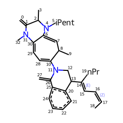 C=C1C(C)N(C(C)CCC)C2=CC(C)C(N3CC(/C(=C/C=C\C)CCC)c4ccccc4C3=C)=CC=C2N1C